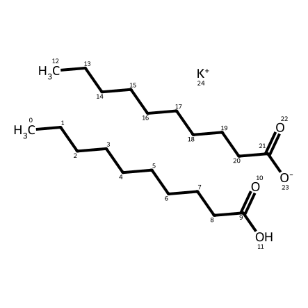 CCCCCCCCCC(=O)O.CCCCCCCCCC(=O)[O-].[K+]